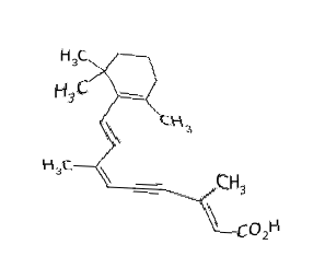 CC1=C(/C=C/C(C)=C\C#C/C(C)=C/C(=O)O)C(C)(C)CCC1